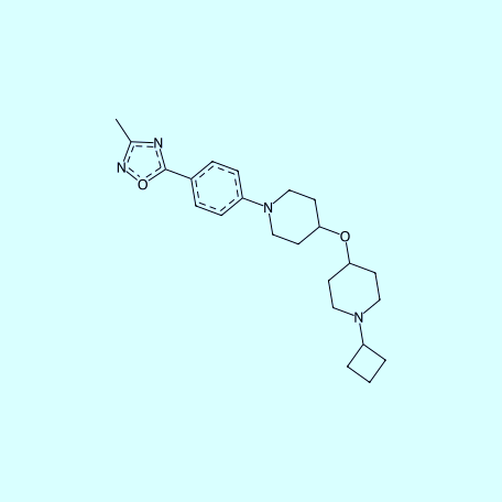 Cc1noc(-c2ccc(N3CCC(OC4CCN(C5CCC5)CC4)CC3)cc2)n1